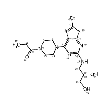 CCc1cc2c(N3CCN(C(=O)CC(F)(F)F)CC3)nc(NC[C@H](O)CO)nc2s1